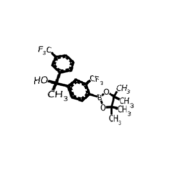 CC(O)(c1cccc(C(F)(F)F)c1)c1ccc(B2OC(C)(C)C(C)(C)O2)c(C(F)(F)F)c1